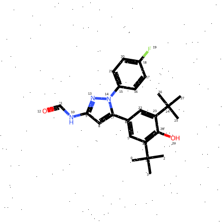 CC(C)(C)c1cc(-c2cc(NC=O)nn2-c2ccc(F)cc2)cc(C(C)(C)C)c1O